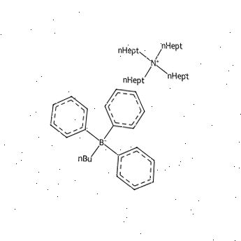 CCCCCCC[N+](CCCCCCC)(CCCCCCC)CCCCCCC.CCCC[B-](c1ccccc1)(c1ccccc1)c1ccccc1